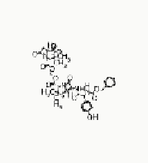 CC1(C)S[C@@H]2[C@H](NC(=O)C(NC(=O)OCc3ccccc3)c3ccc(O)cc3)C(=O)N2[C@H]1C(=O)OCOC(=O)[C@@H]1N2C(=O)C[C@H]2S(=O)(=O)C1(C)C